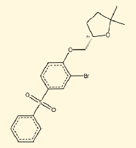 CC1(C)CC[C@@H](COc2ccc(S(=O)(=O)c3ccccc3)cc2Br)O1